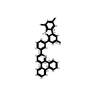 Cc1cc(C)c2sc3c(-c4cccc(-c5ccc6c7ccccc7c7ccccc7c6n5)c4)cc(C)cc3c2c1